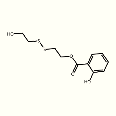 O=C(OCCSSCCO)c1ccccc1O